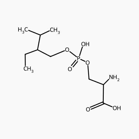 CCC(COP(=O)(O)OCC(N)C(=O)O)C(C)C